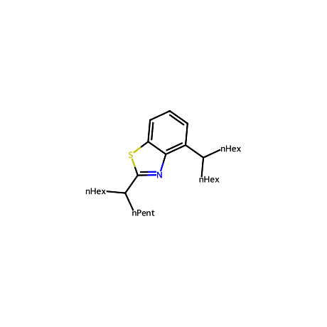 CCCCCCC(CCCCC)c1nc2c(C(CCCCCC)CCCCCC)cccc2s1